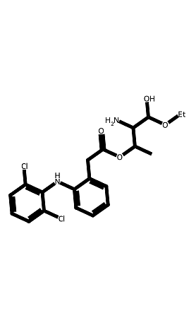 CCOC(O)C(N)C(C)OC(=O)Cc1ccccc1Nc1c(Cl)cccc1Cl